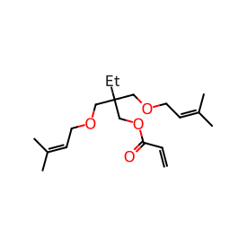 C=CC(=O)OCC(CC)(COCC=C(C)C)COCC=C(C)C